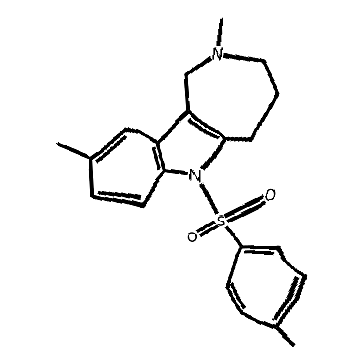 Cc1ccc(S(=O)(=O)n2c3c(c4cc(C)ccc42)CN(C)CCC3)cc1